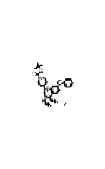 CC(C)(C)OC(=O)N1CCC(NCc2ncnc(N)c2-c2ccc(Oc3ccccc3)cc2)CC1